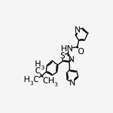 CC(C)(C)c1ccc(-c2sc(NC(=O)c3cccnc3)nc2-c2ccncc2)cc1